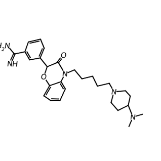 CN(C)C1CCN(CCCCCN2C(=O)C(c3cccc(C(=N)N)c3)Oc3ccccc32)CC1